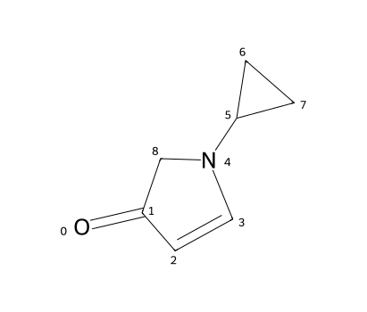 O=C1C=CN(C2CC2)C1